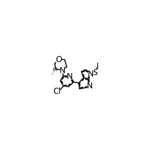 C[C@@H]1COCCN1c1cc(Cl)cc(-c2ccnc3c2ccn3SI)n1